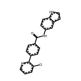 O=C(Nc1ccc2[nH]ccc2c1)c1ccc(-c2ncccc2Cl)cc1